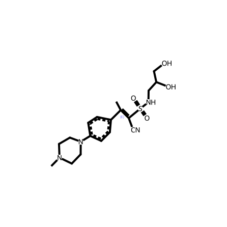 C/C(=C(/C#N)S(=O)(=O)NCC(O)CO)c1ccc(N2CCN(C)CC2)cc1